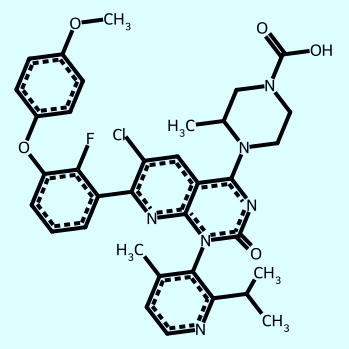 COc1ccc(Oc2cccc(-c3nc4c(cc3Cl)c(N3CCN(C(=O)O)CC3C)nc(=O)n4-c3c(C)ccnc3C(C)C)c2F)cc1